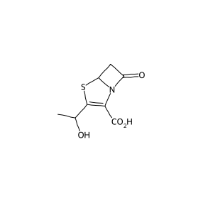 CC(O)C1=C(C(=O)O)N2C(=O)CC2S1